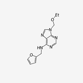 CCOCn1cnc2c(NCc3ccco3)ncnc21